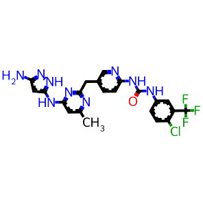 Cc1cc(Nc2cc(N)n[nH]2)nc(Cc2ccc(NC(=O)Nc3ccc(Cl)c(C(F)(F)F)c3)nc2)n1